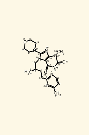 Cc1ccnc(SCC(C)Cn2c(N3CCOCC3)nc3c2c(=O)[nH]c(=O)n3C)n1